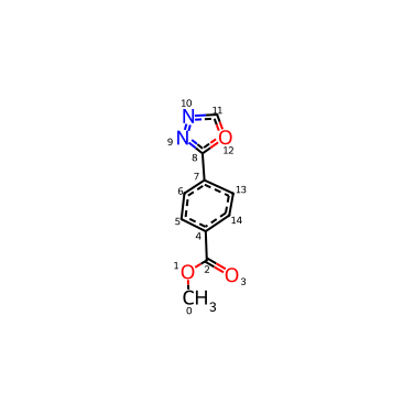 COC(=O)c1ccc(-c2nnco2)cc1